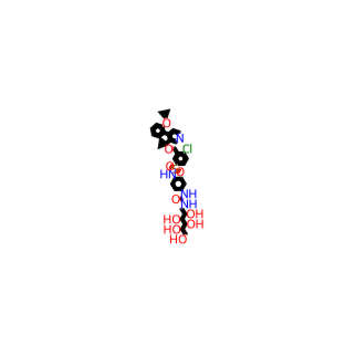 O=C(NC[C@H](O)[C@@H](O)[C@H](O)[C@H](O)CO)N[C@H]1CC[C@@H](NS(=O)(=O)c2ccc(Cl)c(COC3(c4cnccc4-c4ccccc4OC4CC4)CC3)c2)CC1